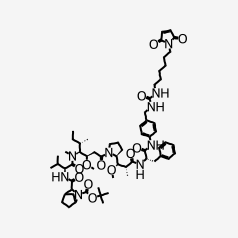 CC[C@H](C)[C@@H]([C@@H](CC(=O)N1CCC[C@H]1[C@H](OC)[C@@H](C)C(=O)N[C@@H](Cc1ccccc1)C(=O)Nc1ccc(CNC(=O)NCCCCCCN2C(=O)C=CC2=O)cc1)OC)N(C)C(=O)[C@@H](NC(=O)C1C2CCC(C2)N1C(=O)OC(C)(C)C)C(C)C